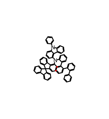 c1ccc(-c2ccccc2-c2ccccc2-c2ccccc2N(c2cccc3c2-c2ccccc2C32c3ccccc3-c3ccccc32)c2cccc3c2c2ccccc2n3-c2ccccc2)cc1